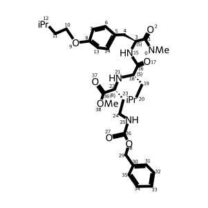 CNC(=O)[C@H](Cc1ccc(OCCC(C)C)cc1)NC(=O)[C@H](CC(C)C)N[C@H](CCNC(=O)OCc1ccccc1)C(=O)OC